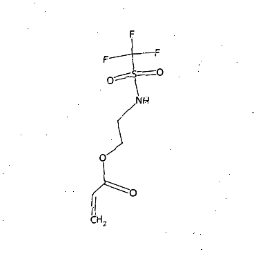 C=CC(=O)OCCNS(=O)(=O)C(F)(F)F